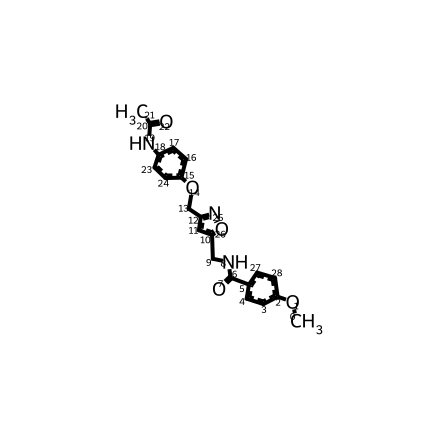 COc1ccc(C(=O)NCc2cc(COc3ccc(NC(C)=O)cc3)no2)cc1